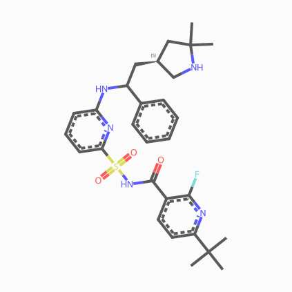 CC1(C)C[C@H](CC(Nc2cccc(S(=O)(=O)NC(=O)c3ccc(C(C)(C)C)nc3F)n2)c2ccccc2)CN1